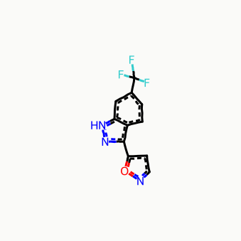 FC(F)(F)c1ccc2c(-c3ccno3)n[nH]c2c1